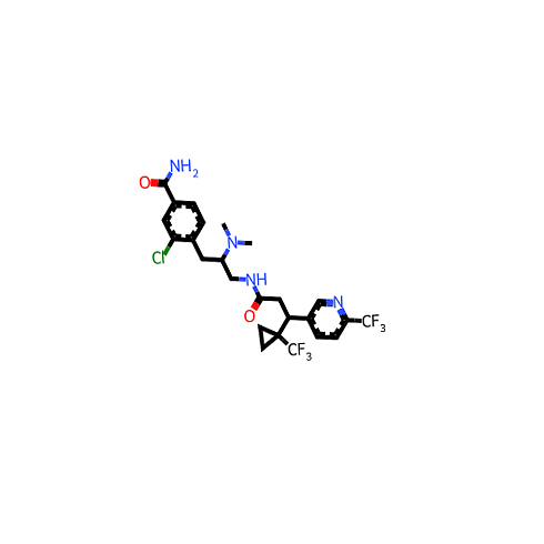 CN(C)C(CNC(=O)CC(c1ccc(C(F)(F)F)nc1)C1(C(F)(F)F)CC1)Cc1ccc(C(N)=O)cc1Cl